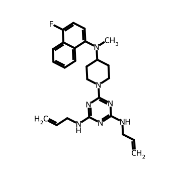 C=CCNc1nc(NCC=C)nc(N2CCC(N(C)c3ccc(F)c4ccccc34)CC2)n1